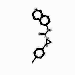 O=C(Nc1ccc2cnccc2c1)[C@@H]1C[C@H]1c1ccc(I)cc1